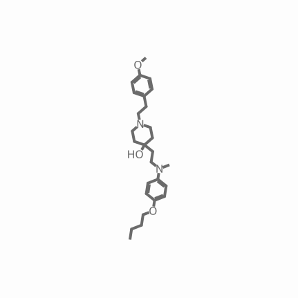 CCCCOc1ccc(N(C)CCC2(O)CCN(CCc3ccc(OC)cc3)CC2)cc1